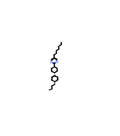 CCCCCCCc1cnc(C2CCC([C@H]3CC[C@H](CCCC)CC3)CC2)nc1